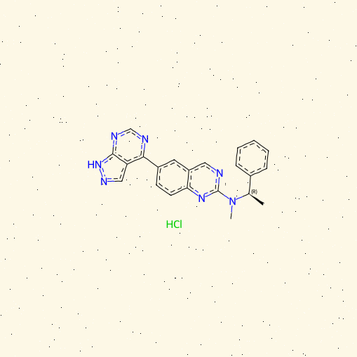 C[C@H](c1ccccc1)N(C)c1ncc2cc(-c3ncnc4[nH]ncc34)ccc2n1.Cl